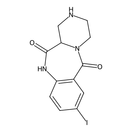 O=C1Nc2ccc(I)cc2C(=O)N2CCNCC12